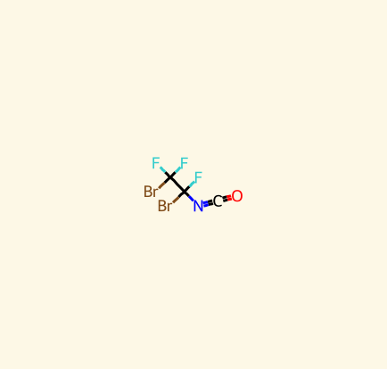 O=C=NC(F)(Br)C(F)(F)Br